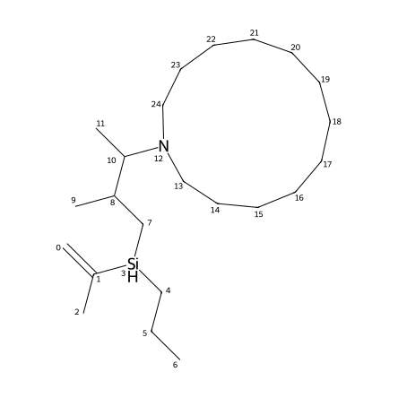 C=C(C)[SiH](CCC)CC(C)C(C)N1CCCCCCCCCCCC1